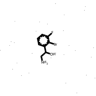 NCC(O)c1cccc(F)c1Br